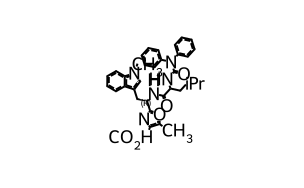 Cc1oc([C@@H](Cc2cn(C)c3ccccc23)NC(=O)C(CC(C)C)NC(=O)N(c2ccccc2)c2ccccc2)nc1C(=O)O